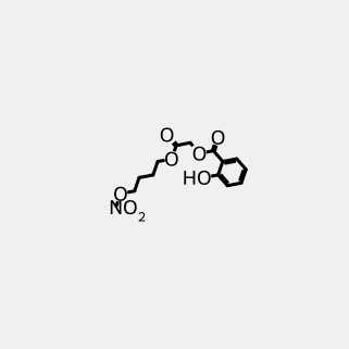 O=C(COC(=O)c1ccccc1O)OCCCCO[N+](=O)[O-]